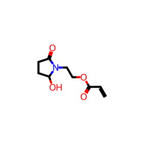 C=CC(=O)OCCN1C(=O)CCC1O